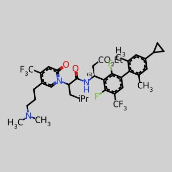 CCOC(=O)C[C@H](NC(=O)C(CC(C)C)n1cc(CCCN(C)C)c(C(F)(F)F)cc1=O)c1c(F)c(-c2c(C)cc(C3CC3)cc2C)cc(C(F)(F)F)c1F